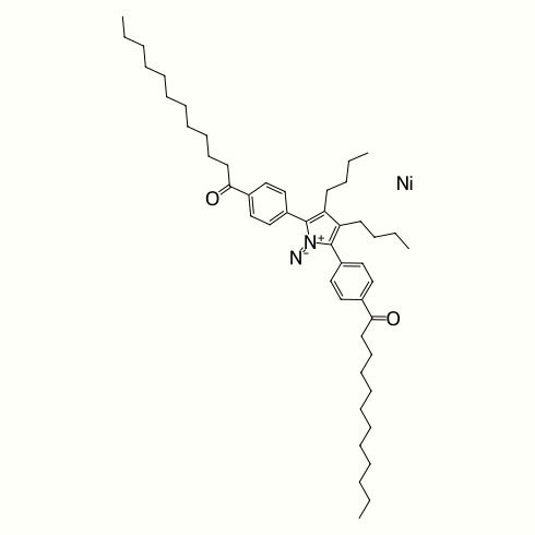 CCCCCCCCCCCC(=O)c1ccc(C2=C(CCCC)C(CCCC)=C(c3ccc(C(=O)CCCCCCCCCCC)cc3)[N+]2=[N-])cc1.[Ni]